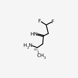 C[C@H](N)CC(=N)CC(F)F